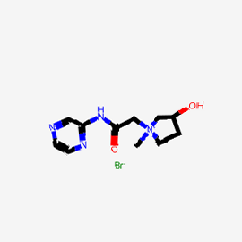 C[N+]1(CC(=O)Nc2cnccn2)CCC(O)C1.[Br-]